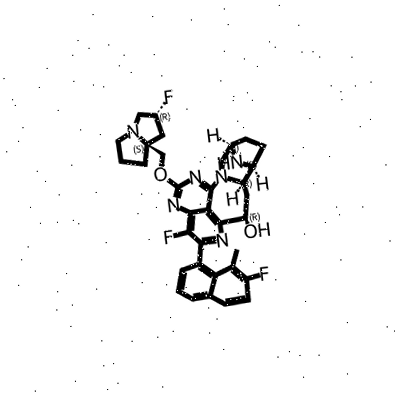 Cc1c(F)ccc2cccc(-c3nc4c5c(nc(OC[C@@]67CCCN6C[C@H](F)C7)nc5c3F)N3C[C@H]5CC[C@H](N5)[C@H]3C[C@H]4O)c12